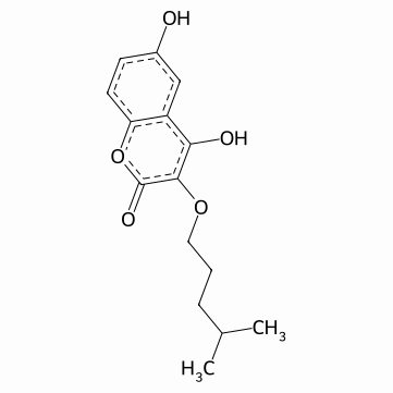 CC(C)CCCOc1c(O)c2cc(O)ccc2oc1=O